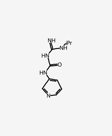 CC(C)NC(=N)NC(=O)Nc1cccnc1